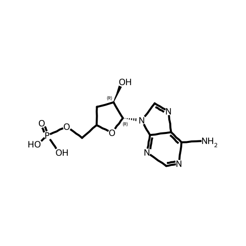 Nc1ncnc2c1ncn2[C@@H]1OC(COP(=O)(O)O)C[C@H]1O